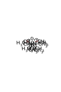 CC(C)(C)c1ccc2c(c1)c1cc(C(C)(C)C)cc3c1n2-c1cc(-c2c(C45CC6CC(CC(C6)C4)C5)cccc2C24CC5CC6CC(C2)C6(C5)C4)cc2c1B3c1cc(C(C)(C)C)cc3c4cc(C(C)(C)C)ccc4n-2c13